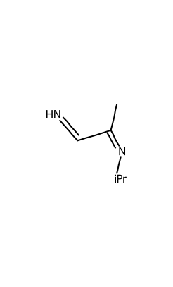 C/C(C=N)=N/C(C)C